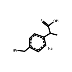 CC(C)Cc1ccc(C(C)C(O)=S)cc1.[Na]